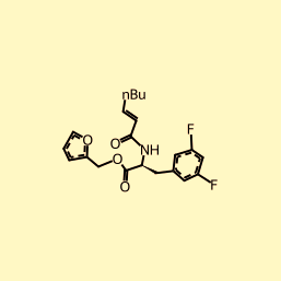 CCCC/C=C/C(=O)N[C@@H](Cc1cc(F)cc(F)c1)C(=O)OCc1ccco1